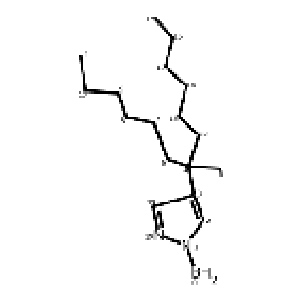 Bn1cc(C(C)(CCCCCC)CCCCCC)cn1